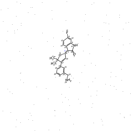 CC1(C)O/C(=C2/C(=O)Nc3cc(F)ccc32)C=C1c1cccc(CN)c1